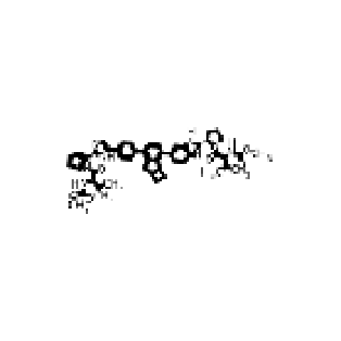 COC(=O)NC(C(=O)N1C2CCC(C2)[C@H]1c1ncc(-c2ccc(-c3ccc(-c4ccc5nc([C@@H]6CCCN6C(=O)[C@@H](NC(=O)OC)C(C)C)[nH]c5c4)c4c3CC3CCC43)cc2)[nH]1)C(C)C